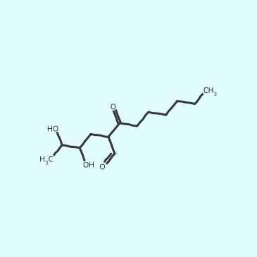 CCCCCCC(=O)C([C]=O)CC(O)C(C)O